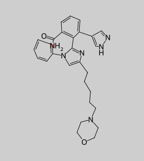 NC(=O)c1cccc(-c2cn[nH]c2)c1-c1nc(CCCCCN2CCOCC2)cn1-c1ccccc1